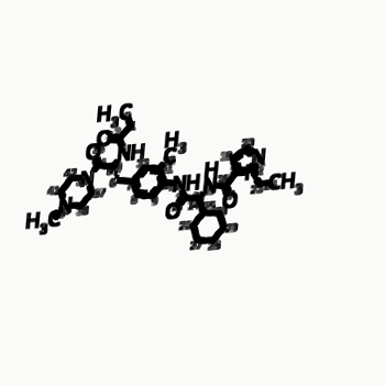 CCC(=O)N[C@H](Cc1ccc(NC(=O)[C@@H](NC(=O)c2ccnn2CC)C2CCCCC2)c(C)c1)C(=O)N1CCN(C)CC1